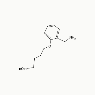 CCCCCCCCCCCCOc1ccccc1CN